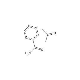 CC(C)=O.NC(=O)c1ccncc1